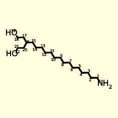 NCCCCCCCCCCCCCCCC(CCO)CCO